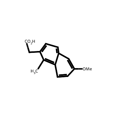 COc1ccc2c(C)c(CC(=O)O)ccc2c1